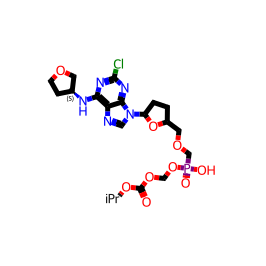 CC(C)OC(=O)OCOP(=O)(O)COCC1CCC(n2cnc3c(N[C@H]4CCOC4)nc(Cl)nc32)O1